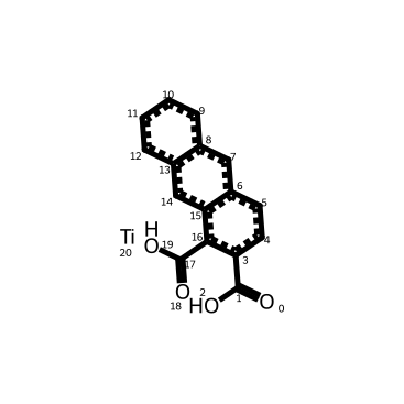 O=C(O)c1ccc2cc3ccccc3cc2c1C(=O)O.[Ti]